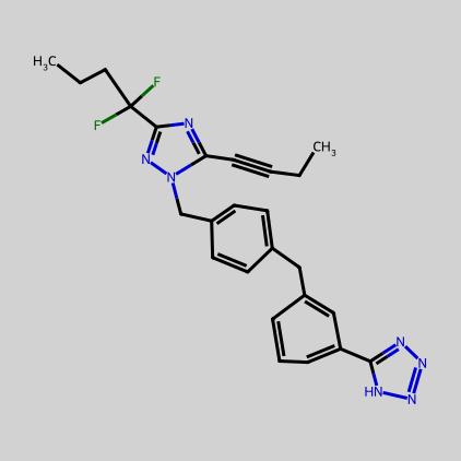 CCC#Cc1nc(C(F)(F)CCC)nn1Cc1ccc(Cc2cccc(-c3nnn[nH]3)c2)cc1